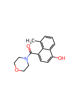 Cc1cccc2c(O)ccc(C(=O)N3CCOCC3)c12